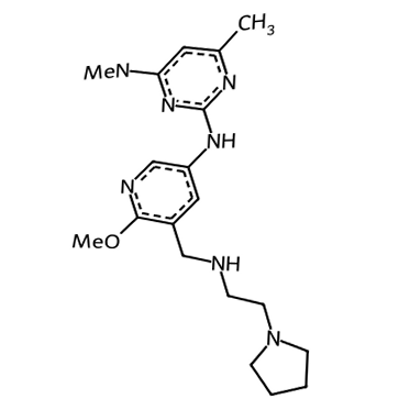 CNc1cc(C)nc(Nc2cnc(OC)c(CNCCN3CCCC3)c2)n1